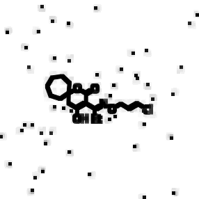 CCC(=NOCC=CCl)C1=C(O)CC2(CCCCCC2)OC1=O